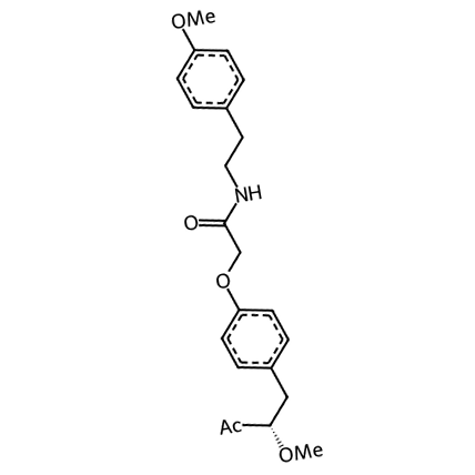 COc1ccc(CCNC(=O)COc2ccc(C[C@H](OC)C(C)=O)cc2)cc1